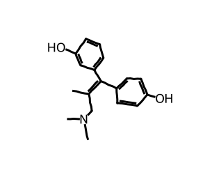 CC(CN(C)C)=C(c1ccc(O)cc1)c1cccc(O)c1